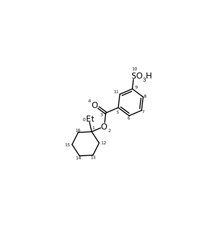 CCC1(OC(=O)c2cccc(S(=O)(=O)O)c2)CCCCC1